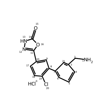 Cl.NCc1cccc(-c2cc(-c3n[nH]c(=O)o3)ccc2Cl)c1